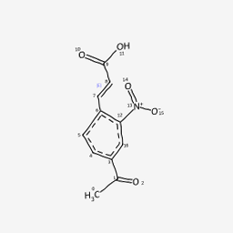 CC(=O)c1ccc(/C=C/C(=O)O)c([N+](=O)[O-])c1